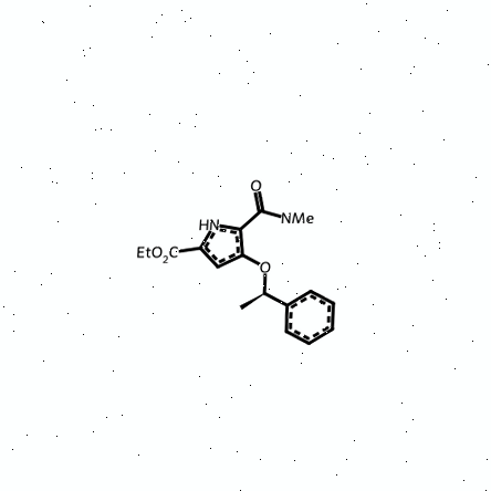 CCOC(=O)c1cc(O[C@H](C)c2ccccc2)c(C(=O)NC)[nH]1